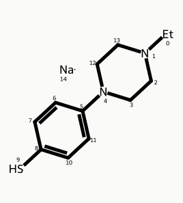 CCN1CCN(c2ccc(S)cc2)CC1.[Na]